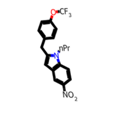 CCCn1c(Cc2ccc(OC(F)(F)F)cc2)cc2cc([N+](=O)[O-])ccc21